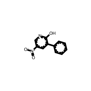 O=[N+]([O-])c1cnc(O)c(-c2ccccc2)c1